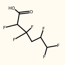 O=C(O)C(F)C(F)(F)CC(F)C(F)F